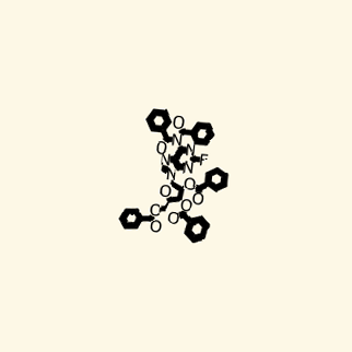 O=C(OC[C@H]1O[C@@H](n2cnc3c(N(C(=O)c4ccccc4)C(=O)c4ccccc4)nc(F)nc32)[C@H](OC(=O)c2ccccc2)[C@@H]1OC(=O)c1ccccc1)c1ccccc1